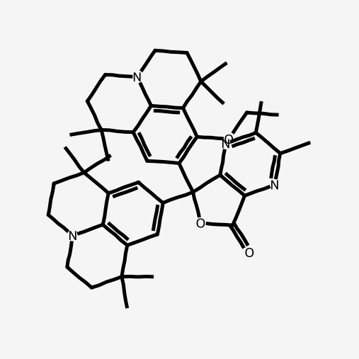 CCOc1c(C2(c3cc4c5c(c3)C(C)(C)CCN5CCC4(C)C)OC(=O)c3nc(C)c(C)nc32)cc2c3c1C(C)(C)CCN3CCC2(C)C